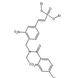 CCOP(=O)(/C=C/c1ccc(CN(CC(=O)O)C(=O)c2ccc(Cl)cc2)c([N+](=O)[O-])c1)OCC